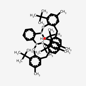 Cc1cc2c(c(C(C)(C)C)c1)OP(c1ccccc1P1Oc3c(cc(C)cc3C(C)(C)C)Cc3cc(C)cc(C(C)(C)C)c3O1)Oc1c(cc(C)cc1C(C)(C)C)C2